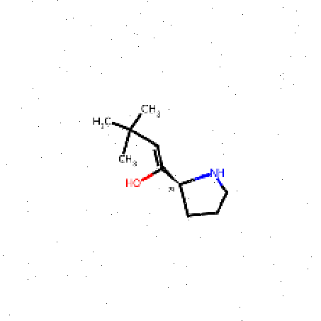 CC(C)(C)C=C(O)[C@@H]1CCCN1